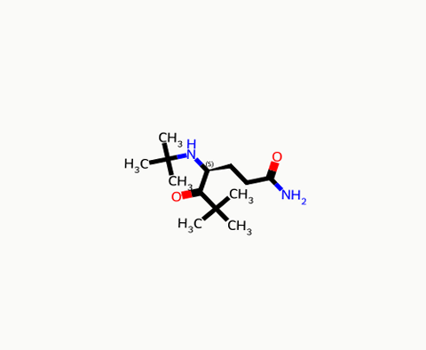 CC(C)(C)N[C@@H](CCC(N)=O)C(=O)C(C)(C)C